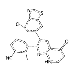 Cc1c(C#N)cccc1-c1nc2[nH]ccc(=O)c2cc1-c1cc(Cl)c2ncsc2c1